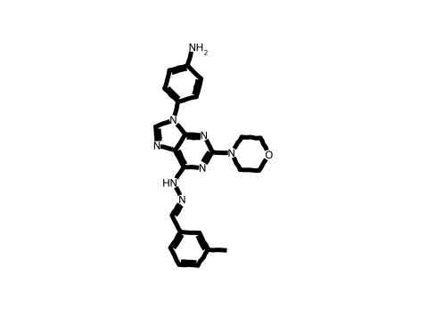 Cc1cccc(C=NNc2nc(N3CCOCC3)nc3c2ncn3-c2ccc(N)cc2)c1